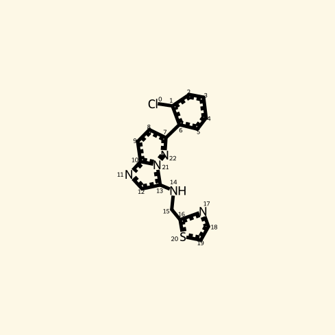 Clc1ccccc1-c1ccc2ncc(NCc3nccs3)n2n1